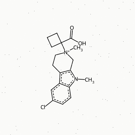 Cn1c2c(c3cc(Cl)ccc31)CC[N+](C)(C1(C(=O)O)CCC1)C2